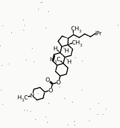 CC(C)CCC[C@H](C)[C@@H]1CC[C@@H]2[C@H]3C=CC4CC(OC(=O)OC5CCN(C)CC5)CC[C@@]4(C)[C@@H]3CC[C@]21C